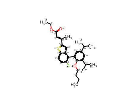 CCCCOc1c(-c2c(F)ccc3sc(C(C)=CC(=O)OCC)cc23)cc(C(C)C)cc1C(C)C